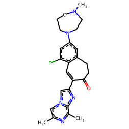 Cc1cn2cc(C3=Cc4c(F)cc(N5CCCN(C)CC5)cc4CCC3=O)nc2c(C)n1